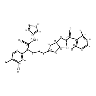 Cc1ccc(N(CCCN2CC3CN(C(=O)c4c(C)ccnc4C)CC3C2)C(=O)Nc2ccsc2)cc1Cl